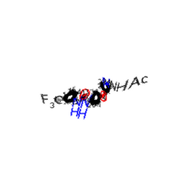 CC(=O)Nc1cc(Oc2ccc(NC(=O)Nc3cccc(C(F)(F)F)c3)cc2)ccn1